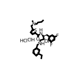 CCCCN(C)Cc1ccc(C(=O)N[C@@H](Cc2cc(F)cc(F)c2)[C@H](O)CNCc2cccc(CC)c2)s1.Cl.Cl